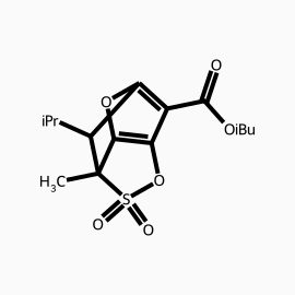 CC(C)COC(=O)c1c2oc3c1OS(=O)(=O)C3(C)C2C(C)C